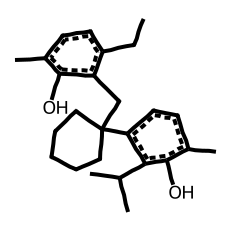 CCc1ccc(C)c(O)c1CC1(c2ccc(C)c(O)c2C(C)C)CCCCC1